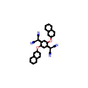 N#CC(C#N)=c1cc(Oc2ccc3ccccc3c2)c(=C(C#N)C#N)cc1Oc1ccc2ccccc2c1